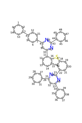 c1ccc(-c2ccc(-c3cc(-c4cccc5c4sc4cccc(-c6nc(-c7ccccc7)cc(-c7ccccc7)n6)c45)nc(-c4ccccc4)n3)cc2)cc1